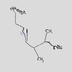 [CH2]CCCC(C)C(C)/C=C/CCCCCCCC